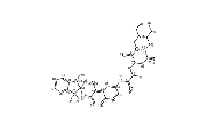 CCCCOC(=O)C(CC(C)C(=O)Oc1ccc2ccc3c(c2c1)N=CC1(O3)N(C)c2ccccc2C1(C)C)SC(=O)SCCCC